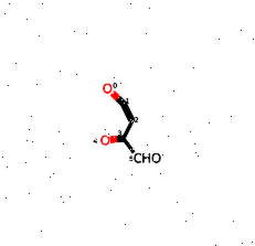 O=C=CC(=O)C=O